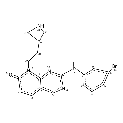 O=c1ccc2cnc(Nc3cccc(Br)c3)nc2n1CCC1CNC1